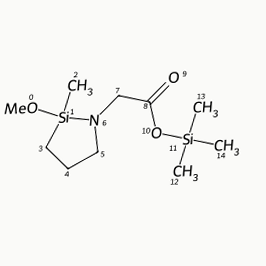 CO[Si]1(C)CCCN1CC(=O)O[Si](C)(C)C